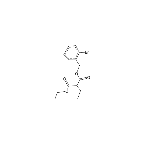 CCOC(=O)C(CC)C(=O)OCc1ccccc1Br